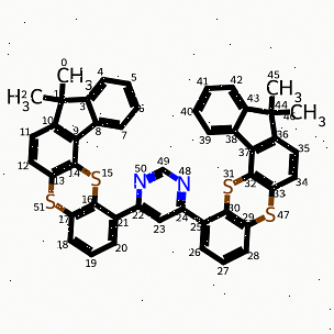 CC1(C)c2ccccc2-c2c1ccc1c2Sc2c(cccc2-c2cc(-c3cccc4c3Sc3c(ccc5c3-c3ccccc3C5(C)C)S4)ncn2)S1